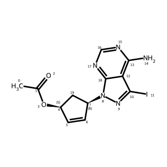 CC(=O)O[C@@H]1C=C[C@H](n2nc(I)c3c(N)ncnc32)C1